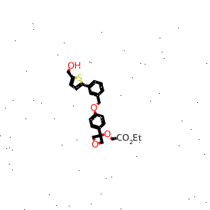 CCOC(=O)COC1(c2ccc(OCc3cccc(-c4ccc(CO)s4)c3)cc2)COC1